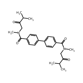 CC(C)C(=O)CN(C)C(=O)c1ccc(-c2ccc(C(=O)N(C)CC(=O)C(C)C)cc2)cc1